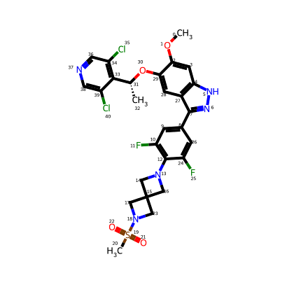 COc1cc2[nH]nc(-c3cc(F)c(N4CC5(C4)CN(S(C)(=O)=O)C5)c(F)c3)c2cc1O[C@H](C)c1c(Cl)cncc1Cl